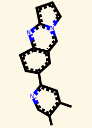 Cc1cnc(-c2ccc3nc4cccn4cc3c2)cc1C